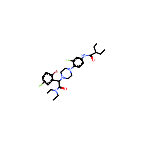 CCC(CC)C(=O)Nc1ccc(N2CCN(C(C(=O)N(CC)CC)c3cc(F)ccc3Br)CC2)c(F)c1